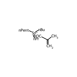 C=C(C)C(=O)[O-].CCCC[CH2][Sn+]([CH2]CC)[CH2]CCC